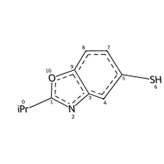 CC(C)c1nc2cc(S)ccc2o1